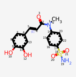 CN(C(=O)/C=C/c1ccc(O)c(O)c1)c1ccc(S(N)(=O)=O)cc1